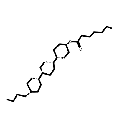 CCCCCCC(=O)O[C@H]1CC[C@H]([C@H]2CC[C@H]([C@H]3CC[C@H](CCCC)CC3)CC2)CC1